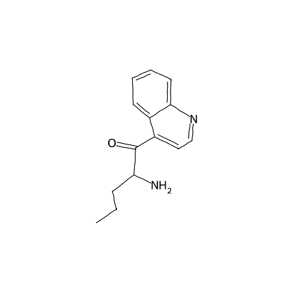 CCCC(N)C(=O)c1ccnc2ccccc12